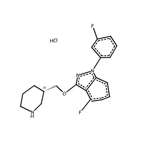 Cl.Fc1cccc(-n2nc(OC[C@H]3CCCNC3)c3c(F)cccc32)c1